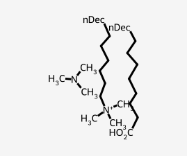 CCCCCCCCCCCCCCCCCC(=O)O.CCCCCCCCCCCCCCCC[N+](C)(C)C.CN(C)C